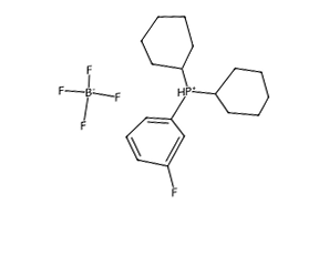 F[B-](F)(F)F.Fc1cccc([PH+](C2CCCCC2)C2CCCCC2)c1